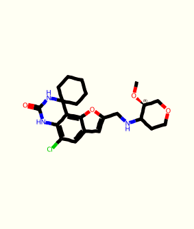 CO[C@H]1COCCC1NCc1cc2cc(Cl)c3c(c2o1)C1(CCCCC1)NC(=O)N3